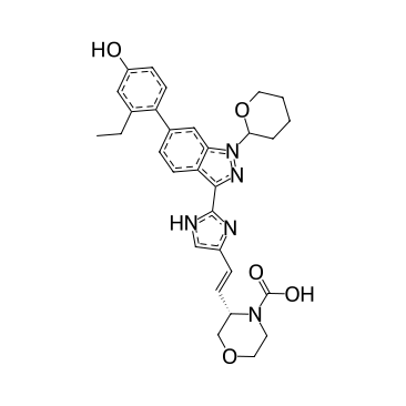 CCc1cc(O)ccc1-c1ccc2c(-c3nc(/C=C/[C@H]4COCCN4C(=O)O)c[nH]3)nn(C3CCCCO3)c2c1